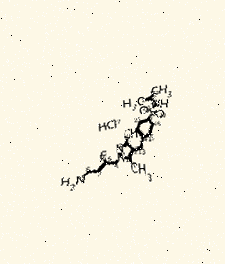 Cc1nn(C/C(F)=C/CN)c(C)c1Cc1ccc(S(=O)(=O)NC(C)C)cc1.Cl